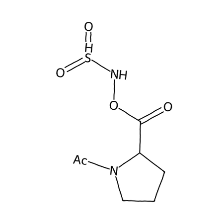 CC(=O)N1CCCC1C(=O)ON[SH](=O)=O